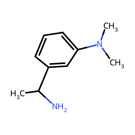 CC(N)c1cccc(N(C)C)c1